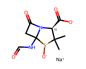 CC1(C)[C@H](C(=O)[O-])N2C(=O)CC2(NC=O)[S+]1[O-].[Na+]